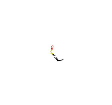 CC=C=S=O